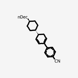 CCCCCCCCCC[C@H]1CC[C@H](C2C=CC(c3ccc(C#N)cc3)=CC2)CC1